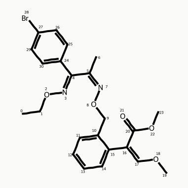 CCON=C(C(C)=NOCc1ccccc1C(=COC)C(=O)OC)c1ccc(Br)cc1